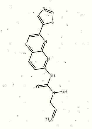 C=CCN(S)C(=O)Nc1ccc2ncc(-c3cncs3)nc2n1